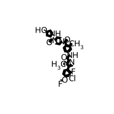 Cc1cc(NC(=O)c2ncc(-c3ccc(OCF)c(Cl)c3F)n2C)ccc1C(=O)N1CCN(C(=O)[C@@H]2C[C@@H](O)CN2)CC1